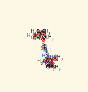 CC(=O)NC1C(OCCCCC(=O)NNCCCNNOC2OC(COC(C)=O)C(OC(C)=O)C(OC(C)=O)C2NC(C)=O)OC(COC(C)=O)C(OC(C)=O)C1OC(C)=O